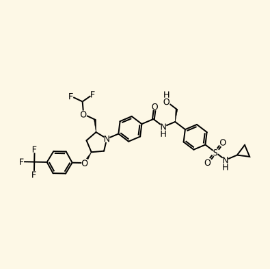 O=C(N[C@@H](CO)c1ccc(S(=O)(=O)NC2CC2)cc1)c1ccc(N2C[C@@H](Oc3ccc(C(F)(F)F)cc3)C[C@H]2COC(F)F)cc1